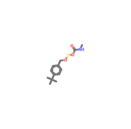 CNC(=O)OSOCc1ccc(C(C)(C)C)cc1